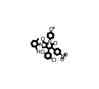 COc1ccc(-n2c3c(c(-c4cc(Cl)ccc4O)c(-c4ccc([N+](=O)[O-])cc4)c2=O)CN(c2c(C)cccc2C)C3=O)cc1